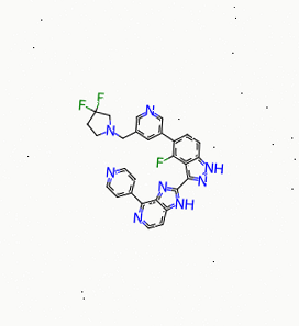 Fc1c(-c2cncc(CN3CCC(F)(F)C3)c2)ccc2[nH]nc(-c3nc4c(-c5ccncc5)nccc4[nH]3)c12